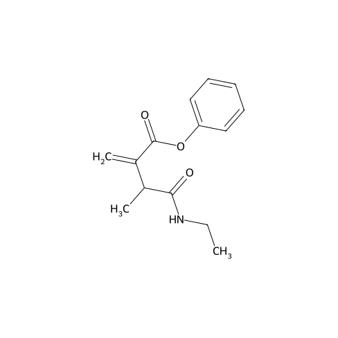 C=C(C(=O)Oc1ccccc1)C(C)C(=O)NCC